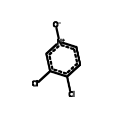 [O-][n+]1ccc(Cl)c(Cl)c1